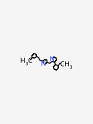 CCc1ccccc1-c1cccnc1Cc1ccc(CCc2cccc(C)c2)nc1